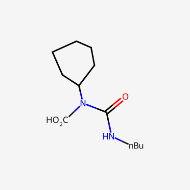 CCCCNC(=O)N(C(=O)O)C1CCCCC1